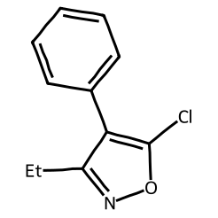 CCc1noc(Cl)c1-c1ccccc1